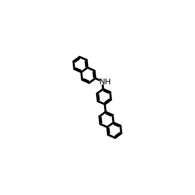 c1ccc2cc(Nc3ccc(-c4ccc5ccccc5c4)cc3)ccc2c1